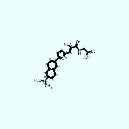 CCC(O)CNC(=O)/C(C#N)=C/c1ccc(-c2ccc3cc(N(C)C)ccc3c2)s1